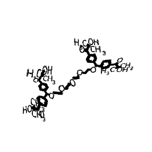 CC(C)(O)C(=O)c1ccc(C(OCCOCCOCCOCCOC(c2ccc(C(=O)C(C)(C)O)cc2)c2ccc(C(=O)C(C)(C)O)cc2)c2ccc(C(=O)C(C)(C)O)cc2)cc1